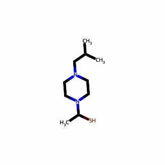 CC(C)CN1CCN(C(C)S)CC1